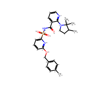 CC1CCN(c2ncccc2C(=O)NS(=O)(=O)c2cccc(OCc3ccc(C(F)(F)F)cc3)n2)C1(C)C